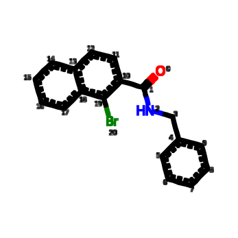 O=C(NCc1ccccc1)c1ccc2ccccc2c1Br